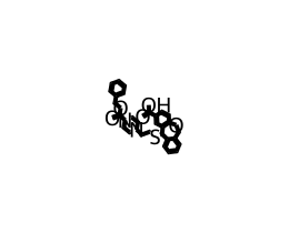 O=C(O)c1ccc2c(c1)C(SCCN1CCN(C(=O)OCc3ccccc3)CC1)c1ccccc1CO2